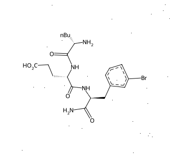 CCCC[C@H](N)C(=O)N[C@@H](CCC(=O)O)C(=O)N[C@@H](Cc1cccc(Br)c1)C(N)=O